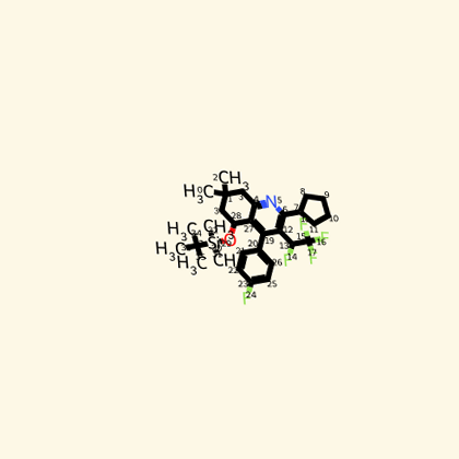 CC1(C)Cc2nc(C3CCCC3)c(C(F)C(F)(F)F)c(-c3ccc(F)cc3)c2C(O[Si](C)(C)C(C)(C)C)C1